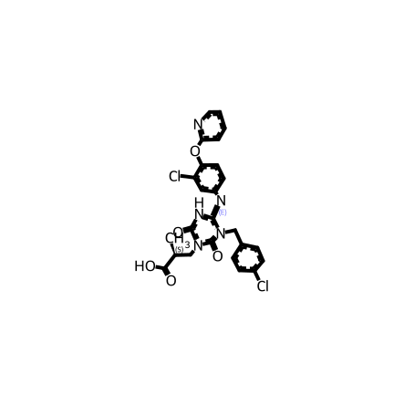 C[C@@H](Cn1c(=O)[nH]/c(=N\c2ccc(Oc3ccccn3)c(Cl)c2)n(Cc2ccc(Cl)cc2)c1=O)C(=O)O